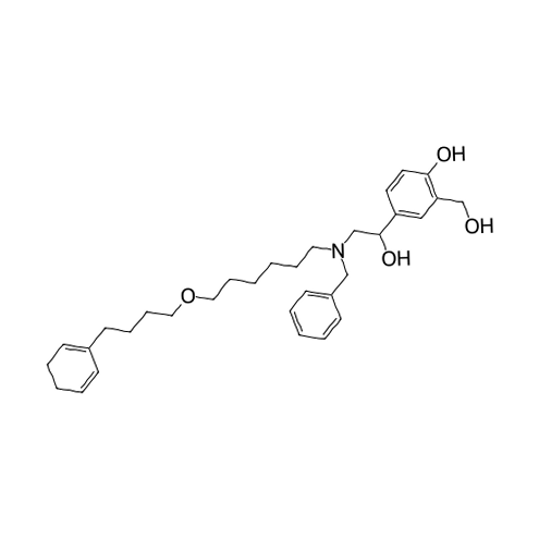 OCc1cc(C(O)CN(CCCCCCOCCCCC2=CCCC=C2)Cc2ccccc2)ccc1O